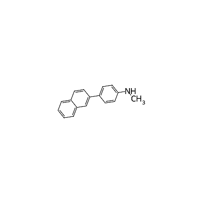 CNc1ccc(-c2ccc3ccccc3c2)cc1